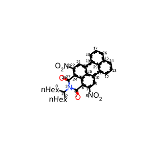 CCCCCCC(CCCCCC)N1C(=O)c2c([N+](=O)[O-])cc3c4cccc5cccc(c6cc([N+](=O)[O-])c(c2c36)C1=O)c54